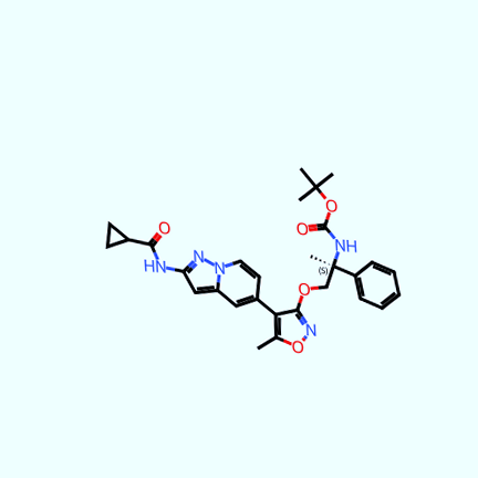 Cc1onc(OC[C@@](C)(NC(=O)OC(C)(C)C)c2ccccc2)c1-c1ccn2nc(NC(=O)C3CC3)cc2c1